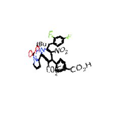 CCOC(=O)C1=C(C2CCCN2C(=O)OC(C)(C)C)NC(Cc2ccc(F)cc2F)=C([N+](=O)[O-])C1c1ccc(C(=O)O)cc1